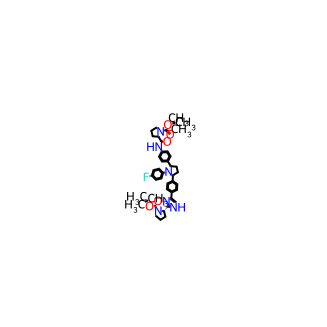 CC(C)(C)OC(=O)N1CCCC1C(=O)Nc1ccc(C2CCC(c3ccc(-c4c[nH]c([C@@H]5CCCN5C(=O)OC(C)(C)C)n4)cc3)N2c2ccc(F)cc2)cc1